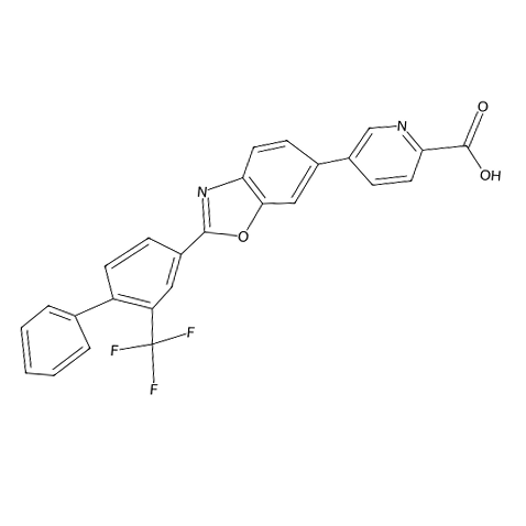 O=C(O)c1ccc(-c2ccc3nc(-c4ccc(-c5ccccc5)c(C(F)(F)F)c4)oc3c2)cn1